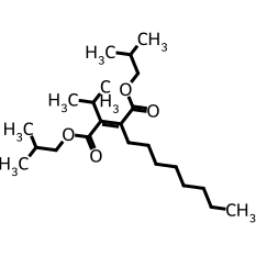 CCCCCCCCC(C(=O)OCC(C)C)=C(C(=O)OCC(C)C)C(C)C